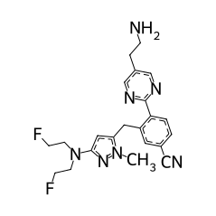 Cn1nc(N(CCF)CCF)cc1Cc1cc(C#N)ccc1-c1ncc(CCN)cn1